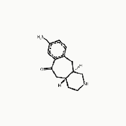 Nc1ccc2c(c1)C(=O)C[C@H]1CCNC[C@@H]1C2